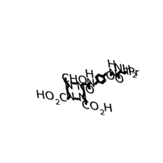 CC(C)C[C@@H](N)C(=O)NOCc1ccc(CNC(=O)CN2CCN(CC=O)CCN(CC(=O)O)CCN(CC(=O)O)CC2)cc1